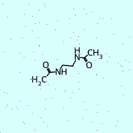 [CH2]C(=O)NCCNC(C)=O